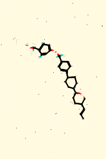 C/C=C/C1CCC(C2CCC(c3ccc(C(F)(F)Oc4cc(F)c(C(F)(F)OC(F)(F)F)c(F)c4)cc3)CC2)OC1